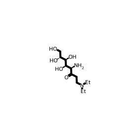 CCN(CC)CCC(=O)[C@H](N)[C@@H](O)[C@H](O)[C@H](O)CO